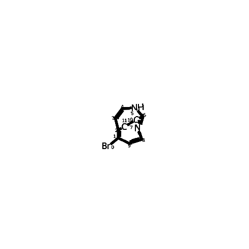 BrC1=C2/C=CN\C(=N/C=C\1)CC2